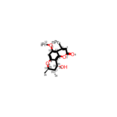 CCCc1cc(=O)oc2c3c(cc(OC(C)C)c12)O[C@H](C)[C@@H](C)[C@H]3O